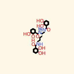 O=C(NCCCC[C@@H](CNC(=O)c1cccc(O)c1O)NC(=O)c1cccc(O)c1O)c1cccc(O)c1O